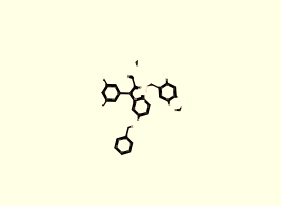 CCOC(=O)c1c(-c2cc(Cl)cc(Cl)c2)c2cc(OCc3ccccc3)ccc2n1Cc1cc2c(cc1Cl)OCO2